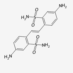 Nc1ccc(C=Cc2ccc(N)cc2S(N)(=O)=O)c(S(N)(=O)=O)c1